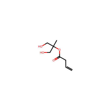 C=CCC(=O)OC(C)(CO)CO